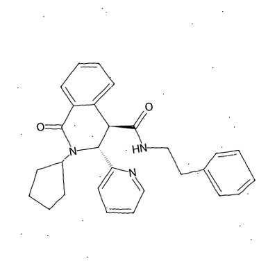 O=C(NCCc1ccccc1)[C@@H]1c2ccccc2C(=O)N(C2CCCC2)[C@H]1c1ccccn1